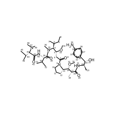 CCC(C)[C@@H]([C@@H](CC(=O)N1CCC[C@H]1[C@H](OC)[C@@H](C)C(=O)N[C@H](C)[C@@H](O)c1ccc(N)cc1)OC)N(C)C(=O)[C@@H](NC(=O)[C@H](C(C)C)N(C)C)C(C)C